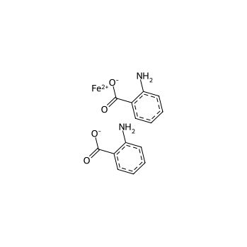 Nc1ccccc1C(=O)[O-].Nc1ccccc1C(=O)[O-].[Fe+2]